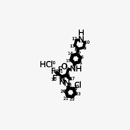 Cl.O=C(Nc1ccc(C2CCNCC2)cc1)c1cn(-c2ccccc2Cl)nc1C(F)(F)F